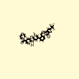 Cn1cc(-c2cccc(N3Cc4cc(C(C)(C)C)sc4C3=O)c2CO)cc(Nc2ccc(C(=O)N3CCOCC3)cn2)c1=O